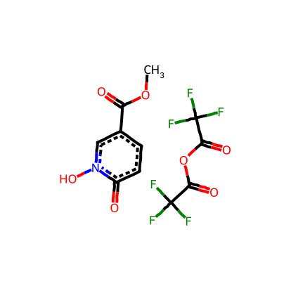 COC(=O)c1ccc(=O)n(O)c1.O=C(OC(=O)C(F)(F)F)C(F)(F)F